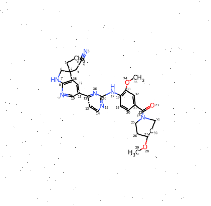 CCC1(CC#N)CNc2ncc(-c3ccnc(Nc4ccc(C(=O)N5CCC(OC)CC5)cc4OC)n3)cc21